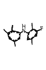 Cc1cc(C)c(C)c(Nc2cc(C)cc(F)c2C)c1